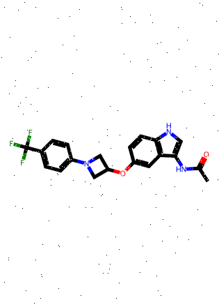 CC(=O)Nc1c[nH]c2ccc(OC3CN(c4ccc(C(F)(F)F)cc4)C3)cc12